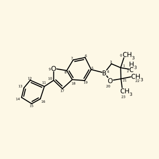 CC1(C)CB(c2ccc3oc(-c4ccccc4)cc3c2)OC1(C)C